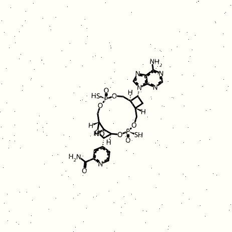 NC(=O)c1cc([C@@H]2O[C@@H]3CO[P@@](=O)(S)OC[C@@H]4[C@@H](CO[P@@](=O)(S)O[C@@H]2[C@@H]3O)C[C@H]4n2cnc3c(N)ncnc32)ccn1